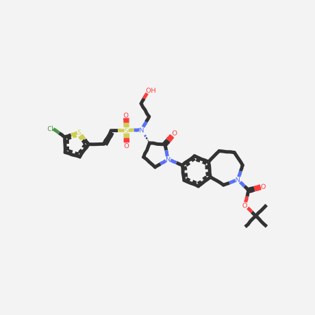 CC(C)(C)OC(=O)N1CCCc2cc(N3CC[C@H](N(CCO)S(=O)(=O)C=Cc4ccc(Cl)s4)C3=O)ccc2C1